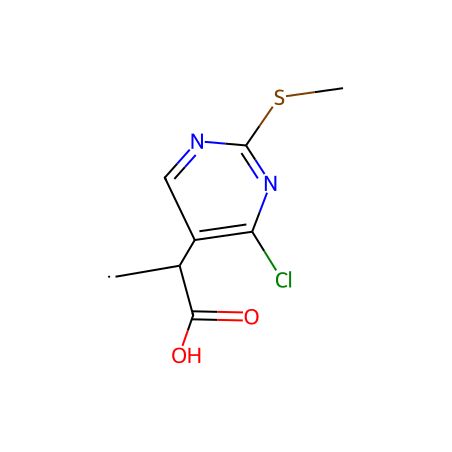 [CH2]C(C(=O)O)c1cnc(SC)nc1Cl